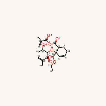 C=C(C)C(=O)OC(=O)C1CCC=CC1(OC(C(=O)C(=C)C)C(C)O)C(=O)OCC